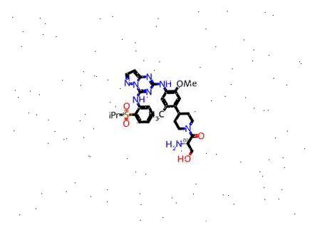 COc1cc(C2CCN(C(=O)[C@@H](N)CO)CC2)c(C)cc1Nc1nc(Nc2ccccc2S(=O)(=O)C(C)C)n2nccc2n1